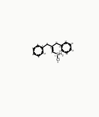 Cl[SiH2]C=C(Cc1ccccc1)Cc1ccccc1